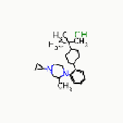 CC1CN(C2CC2)CCN1c1ccccc1C1CCC(C(C)(C)C)CC1.Cl